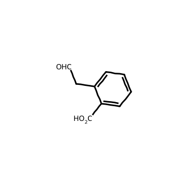 O=CCc1ccccc1C(=O)O